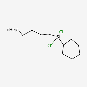 CCCCCCCCCCC[Si](Cl)(Cl)C1CCCCC1